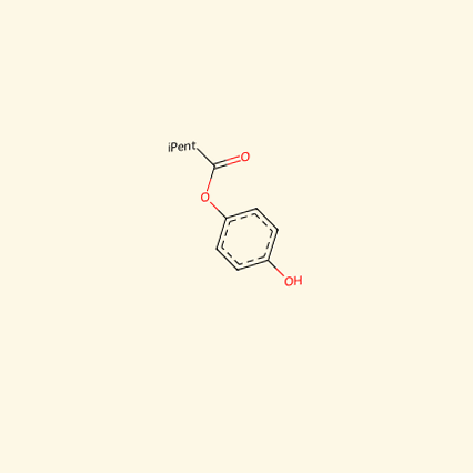 CCCC(C)C(=O)Oc1ccc(O)cc1